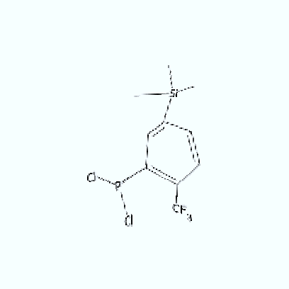 C[Si](C)(C)c1ccc(C(F)(F)F)c(P(Cl)Cl)c1